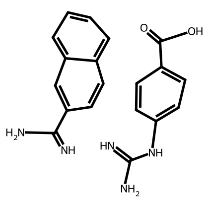 N=C(N)Nc1ccc(C(=O)O)cc1.N=C(N)c1ccc2ccccc2c1